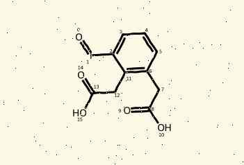 O=Ic1cccc(CC(=O)O)c1CC(=O)O